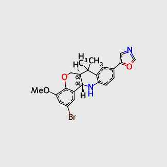 COc1cc(Br)cc2c1OC[C@@H]1[C@@H]2Nc2ccc(-c3cnco3)cc2C1(C)C